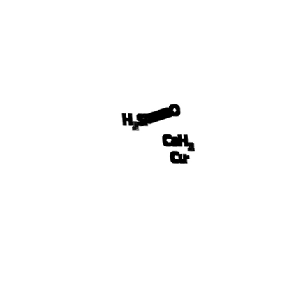 O=[SiH2].[CaH2].[Cu]